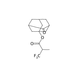 CC(C(=O)OC12CC3CC(C1)C(=O)C(C3)C2)C(F)(F)F